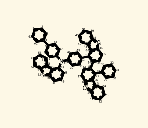 c1ccc(-c2ccc(N(c3ccc(-c4c(-c5ccc6oc7ccccc7c6c5-c5ccccc5)ccc5oc6ccccc6c45)cc3)c3cccc4sc5ccccc5c34)cc2)cc1